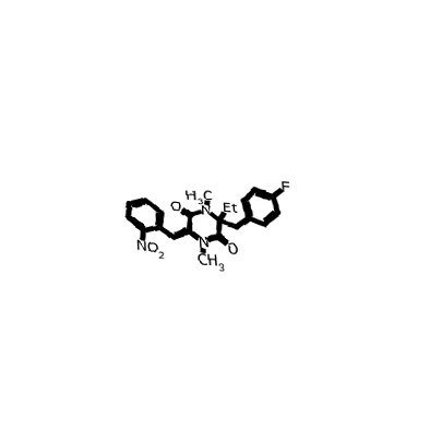 CCC1(Cc2ccc(F)cc2)C(=O)N(C)C(=Cc2ccccc2[N+](=O)[O-])C(=O)N1C